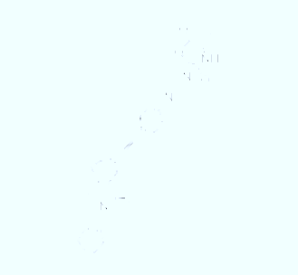 CC(C)[C@@H](NS(=O)(=O)N1CCN(c2ccc(C#Cc3ccc4c(c3)C(=O)N(Cc3ccccc3)CO4)cc2)CC1)C(=O)O